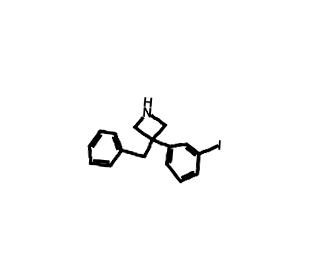 Ic1cccc(C2(Cc3ccccc3)CNC2)c1